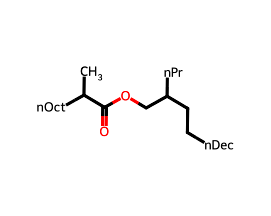 CCCCCCCCCCCCC(CCC)COC(=O)C(C)CCCCCCCC